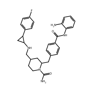 NC(=O)N1CCC(CNC2CC2c2ccc(F)cc2)CC1Cc1ccc(C(=O)Nc2ccccc2N)cc1